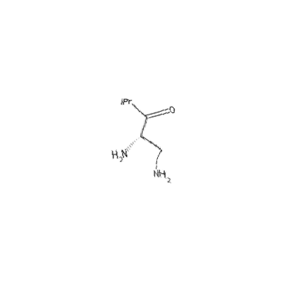 CC(C)C(=O)[C@@H](N)CN